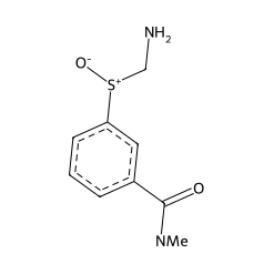 CNC(=O)c1cccc([S+]([O-])CN)c1